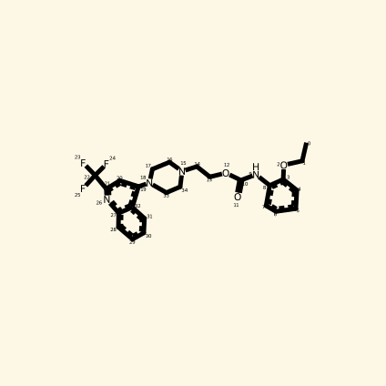 CCOc1ccccc1NC(=O)OCCN1CCN(c2cc(C(F)(F)F)nc3ccccc23)CC1